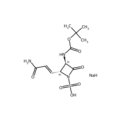 CC(C)(C)OC(=O)N[C@H]1C(=O)N(S(=O)(=O)O)[C@@H]1C=CC(N)=O.[NaH]